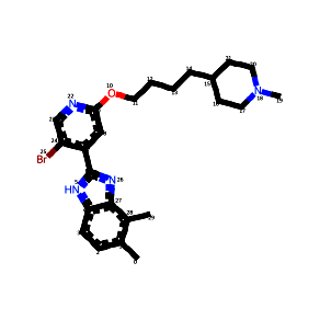 Cc1ccc2[nH]c(-c3cc(OCCCCC4CCN(C)CC4)ncc3Br)nc2c1C